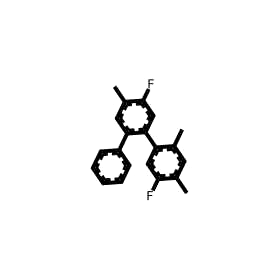 Cc1cc(C)c(-c2cc(F)c(C)cc2-c2ccccc2)cc1F